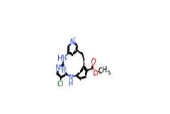 COC(=O)c1ccc2cc1CCc1cncc(c1)Nc1ncc(Cl)c(n1)N2